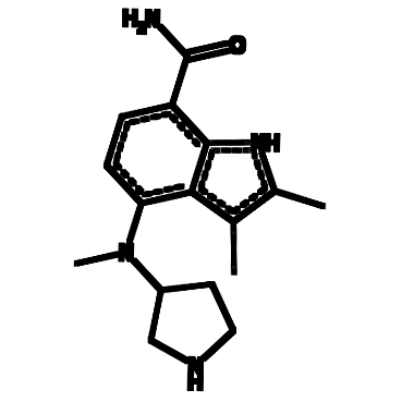 Cc1[nH]c2c(C(N)=O)ccc(N(C)C3CCNC3)c2c1C